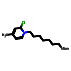 CCCCCCCCCCCCCCCCN1C=CC(C)=CC1Cl